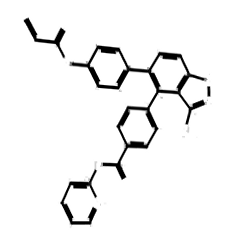 C=CC(=O)Nc1ccc(-c2ccc3[nH]nc(N)c3c2-c2ccc(C(=O)Nc3ccccn3)cc2)cc1